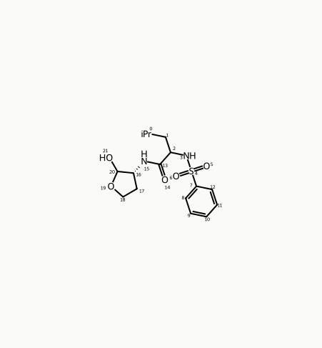 CC(C)CC(NS(=O)(=O)c1ccccc1)C(=O)N[C@@H]1CCOC1O